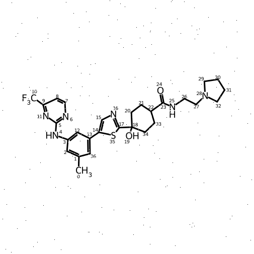 Cc1cc(Nc2nccc(C(F)(F)F)n2)cc(-c2cnc(C3(O)CCC(C(=O)NCCN4CCCC4)CC3)s2)c1